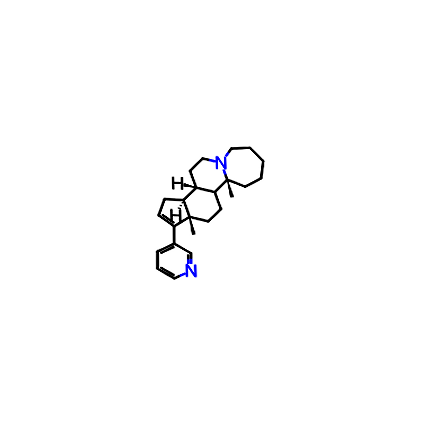 C[C@]12CCC3[C@@H](CCN4CCCCC[C@]34C)[C@@H]1CC=C2c1cccnc1